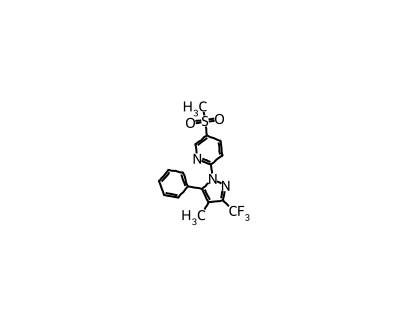 Cc1c(C(F)(F)F)nn(-c2ccc(S(C)(=O)=O)cn2)c1-c1ccccc1